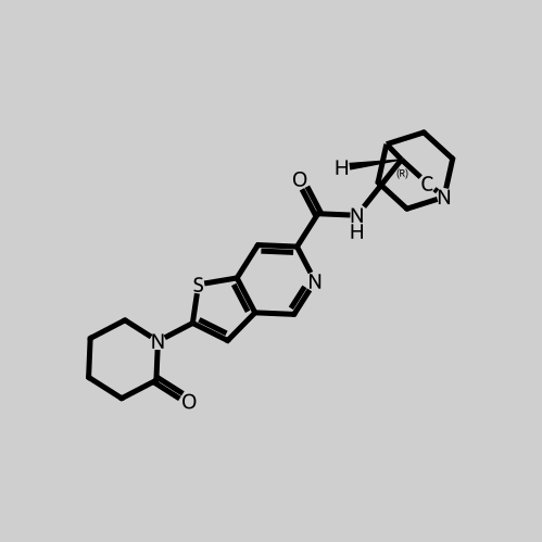 O=C(N[C@H]1CN2CCC1CC2)c1cc2sc(N3CCCCC3=O)cc2cn1